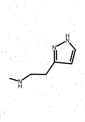 CNCCc1cc[nH]n1